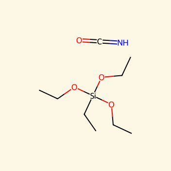 CCO[Si](CC)(OCC)OCC.N=C=O